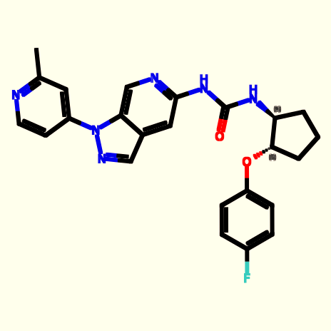 Cc1cc(-n2ncc3cc(NC(=O)N[C@H]4CCC[C@@H]4Oc4ccc(F)cc4)ncc32)ccn1